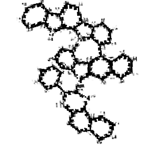 c1ccc(-c2nc3ccc4ccccc4c3nc2-n2c3cc4ccccc4c4c5cccc6c7ccc8c9ccccc9sc8c7n(c7cccc2c7c43)c65)cc1